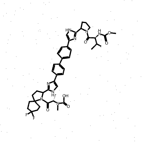 COC(=O)N[C@H](C(=O)N1CCCC1c1nc(-c2ccc(-c3ccc(-c4c[nH]c(C5CCC6(CCC(F)(F)CC6)N5C(=O)[C@H](C)N(C)C(=O)O)n4)cc3)cc2)c[nH]1)C(C)C